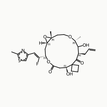 C=CC[C@H]1C(=O)C2(CCC2)[C@@H](O)CC(=O)O[C@H](C(F)=Cc2csc(C)n2)C[C@@H]2O[C@]2(C)CCO[C@H](C)C1O